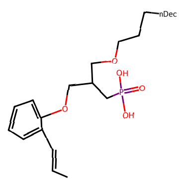 CC=Cc1ccccc1OCC(COCCCCCCCCCCCCC)CP(=O)(O)O